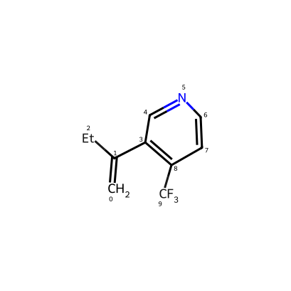 C=C(CC)c1cnccc1C(F)(F)F